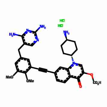 COc1cc(Cc2cnc(N)nc2N)cc(C#Cc2ccc3c(=O)c(OC(=O)O)cn([C@H]4CC[C@H](N)CC4)c3c2)c1OC.Cl.Cl